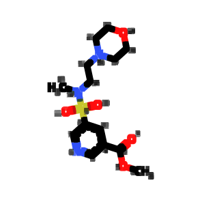 COC(=O)c1cncc(S(=O)(=O)N(C)CCN2CCOCC2)c1